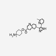 Cc1cccc(-c2[nH]cnc2-c2ccc3ncc(C(=O)OC4CCC(C)(N)CC4)cc3c2)n1